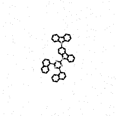 c1ccc2c(-c3nc(-c4cccc5ccccc45)nc(-n4c5ccccc5c5cc(-n6c7ccccc7c7ccccc76)ccc54)n3)cccc2c1